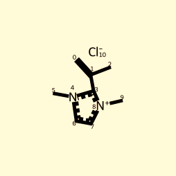 C=C(C)c1n(C)cc[n+]1C.[Cl-]